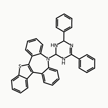 c1ccc(C2=NC(c3ccccc3)NC(N3c4ccccc4-c4sc5ccccc5c4-c4ccccc43)N2)cc1